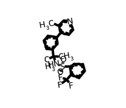 Cc1cnccc1-c1cccc(C(C)(C)NS(=O)(=O)c2ccccc2C(F)(F)F)c1